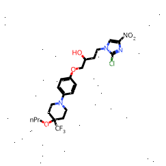 CCCOC1(C(F)(F)F)CCN(c2ccc(OCC(O)CCn3cc([N+](=O)[O-])nc3Cl)cc2)CC1